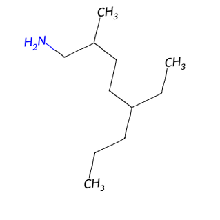 CCCC(CC)CCC(C)CN